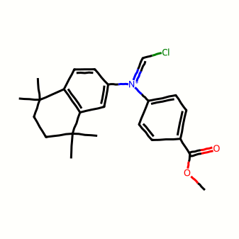 COC(=O)c1ccc([N+](=CCl)c2ccc3c(c2)C(C)(C)CCC3(C)C)cc1